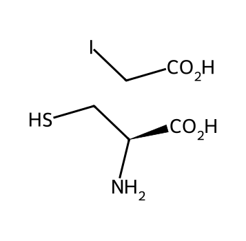 N[C@@H](CS)C(=O)O.O=C(O)CI